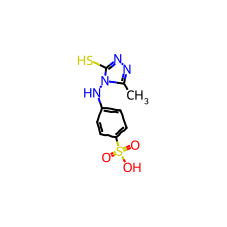 Cc1nnc(S)n1Nc1ccc(S(=O)(=O)O)cc1